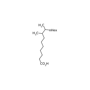 CCCCCCC(C)C(C)CCCCCCC(=O)O